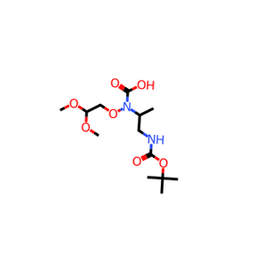 COC(CON(C(=O)O)C(C)CNC(=O)OC(C)(C)C)OC